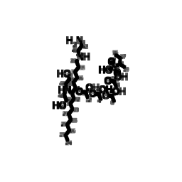 CC(=O)O.CC(=O)O.CC(=O)O.CC(=O)O.CCC(C)S(=O)(=O)O.CCCCCCCCCCCCCCCCNCCN.OCCNCCO